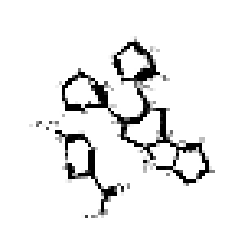 COC(=O)c1ccc(C(=O)O)cc1.c1ccc(-c2cc3[nH]c4ccccc4c3cc2-c2ccccc2)cc1